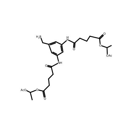 BCc1cc(NC(=O)CCCC(=O)OC(C)OC(C)=O)cc(NC(=O)CCCC(=O)OC(C)OC(C)=O)c1